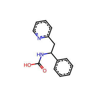 O=C(O)NC(Cc1ccccn1)c1ccccc1